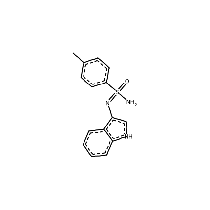 Cc1ccc(S(N)(=O)=Nc2c[nH]c3ccccc23)cc1